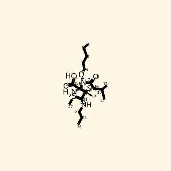 CCCCCON(C(=O)CC(C)C)[C@](N)(C(=O)O)[C@](C)(S)C(NCCC)SC